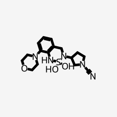 N#CN1CCC(N2Cc3cccc(N4CCOCC4)c3NS2(O)O)C1